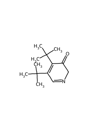 CC(C)(C)C1=C(C(C)(C)C)C(=O)CN=C1